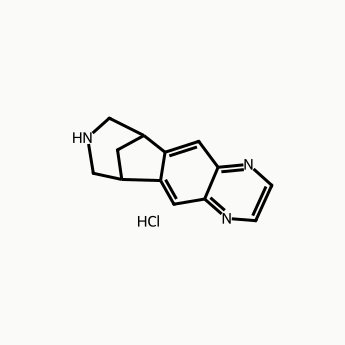 Cl.c1cnc2cc3c(cc2n1)C1CNCC3C1